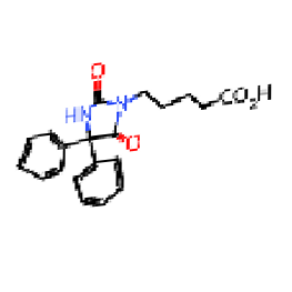 O=C(O)CCCCN1C(=O)NC(c2ccccc2)(c2ccccc2)C1=O